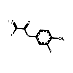 C=C(F)C(=O)Oc1ccc(C)c(F)c1